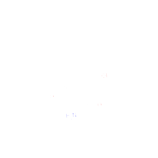 NC(=O)C1=C(O)c2ccccc2C1=O